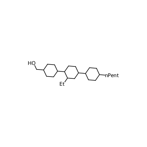 CCCCCC1CCC(C2CCC(C3CCC(CO)CC3)C(CC)C2)CC1